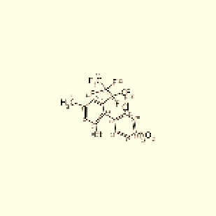 CCc1[c]c(C)cc(C(F)(C(F)(F)F)C(F)(F)C(F)(F)F)c1-c1ccc([N+](=O)[O-])cc1Cl